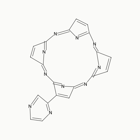 C1=CC2=NC3=NC(=NC4=NC(=NC5=NC(=NC1=N2)C=C5)C=C4c1cnccn1)C=C3